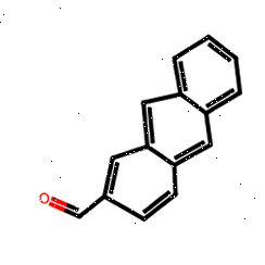 O=Cc1ccc2cc3ccccc3cc2c1